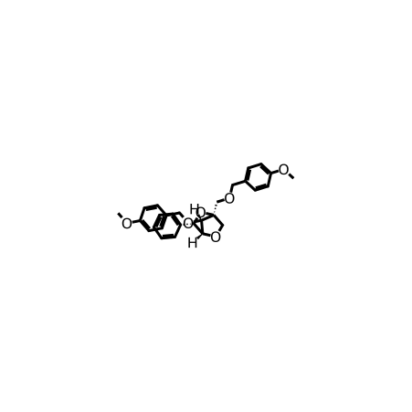 COc1ccc(COC[C@@]23CO[C@H]([C@H](c4ccccc4)O2)[C@@H]3OCc2ccc(OC)cc2)cc1